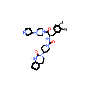 CCc1ccc(C[C@@H](NC(=O)N2CCC(N3CCc4ccccc4NC3=O)CC2)C(=O)N2CCN(c3ccncc3)CC2)cc1CC